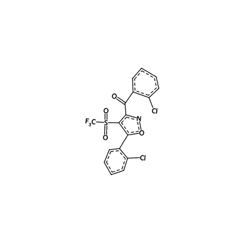 O=C(c1ccccc1Cl)c1noc(-c2ccccc2Cl)c1S(=O)(=O)C(F)(F)F